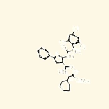 COC(=O)[C@@H](NC(=O)c1cc(-c2ccccc2)sc1NC(=O)Nc1c(Cl)cc(Cl)cc1Cl)C1CCCCC1